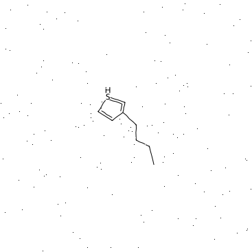 CCCCC1=C=[SH]C=C1